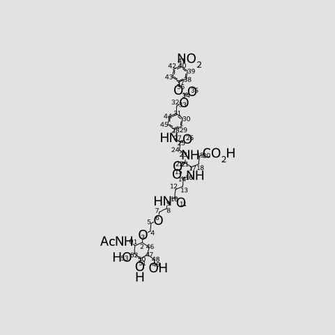 CC(=O)NC1C(OCCOCCNC(=O)CCC(=O)NC(CCC(=O)O)C(=O)NCC(=O)Nc2ccc(COC(=O)Oc3ccc([N+](=O)[O-])cc3)cc2)CC(CO)C(O)C1O